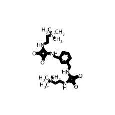 C[N+](C)(C)CCNc1c(NCc2cccc(CNc3c(NCC[N+](C)(C)C)c(=O)c3=O)c2)c(=O)c1=O